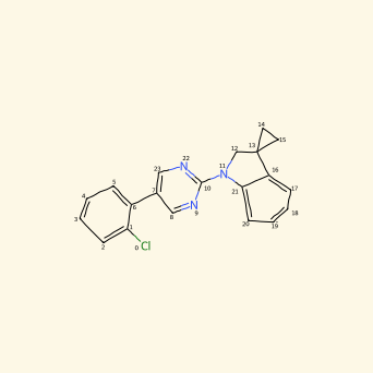 Clc1ccccc1-c1cnc(N2CC3(CC3)c3cc[c]cc32)nc1